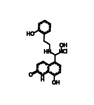 Cl.O=c1ccc2c(C(CO)NCCc3ccccc3O)ccc(O)c2[nH]1